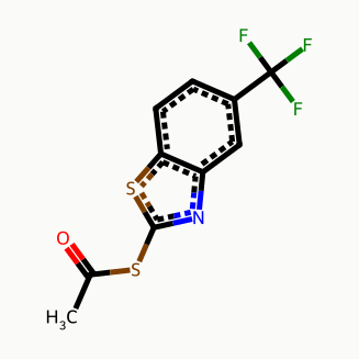 CC(=O)Sc1nc2cc(C(F)(F)F)ccc2s1